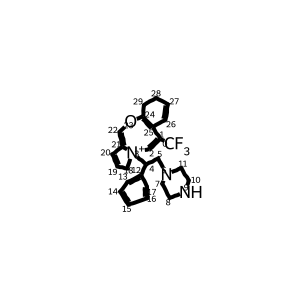 FC(F)(F)/C1=C/[N+]2(C(CN3CCNCC3)c3ccccc3)CC=C/C2=C/OC2=C1C=CCC2